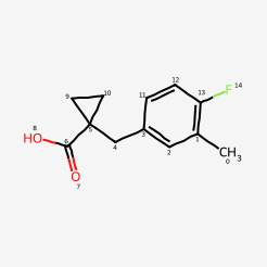 Cc1cc(CC2(C(=O)O)CC2)ccc1F